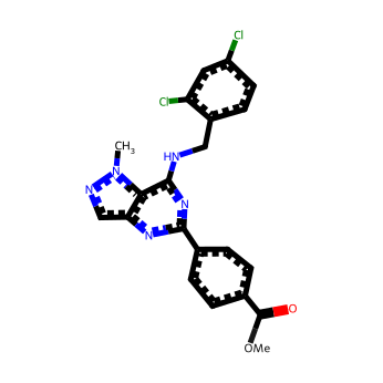 COC(=O)c1ccc(-c2nc(NCc3ccc(Cl)cc3Cl)c3c(cnn3C)n2)cc1